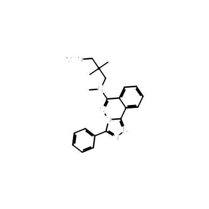 CNCC(C)(C)CN(C)c1nn2c(-c3ccccc3)nnc2c2ccccc12